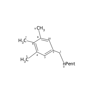 CCCCCCc1cc(C)c(C)c(C)c1